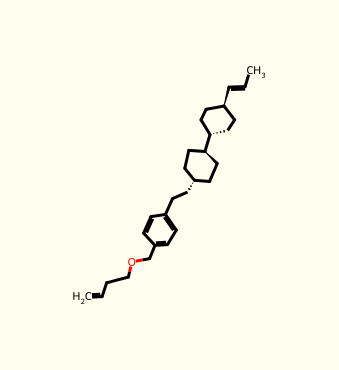 C=CCCOCc1ccc(CC[C@H]2CC[C@H]([C@H]3CC[C@H](C=CC)CC3)CC2)cc1